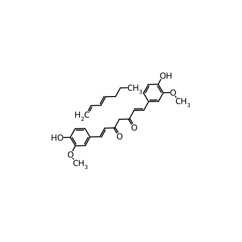 C=CC=CCCC.COc1cc(/C=C/C(=O)CC(=O)/C=C/c2ccc(O)c(OC)c2)ccc1O